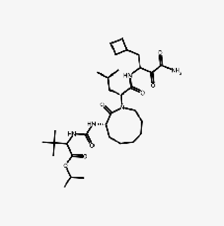 CC(C)C[C@@H](C(=O)NC(CC1CCC1)C(=O)C(N)=O)N1CCCCCC[C@H](NC(=O)NC(C(=O)OC(C)C)C(C)(C)C)C1=O